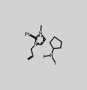 C=CCn1ccn(C)[c]1=[Pt].IN(I)C1CCCC1